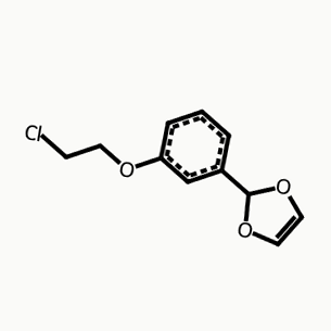 ClCCOc1cccc(C2OC=CO2)c1